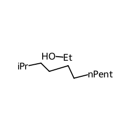 CCCCCCCCCC(C)C.CCO